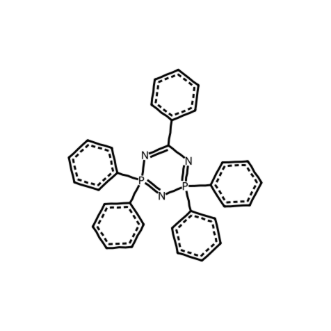 c1ccc(C2=NP(c3ccccc3)(c3ccccc3)=NP(c3ccccc3)(c3ccccc3)=N2)cc1